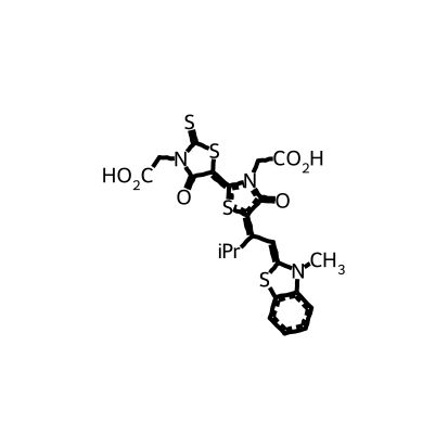 CC(C)C(/C=C1\Sc2ccccc2N1C)=c1\s/c(=C2/SC(=S)N(CC(=O)O)C2=O)n(CC(=O)O)c1=O